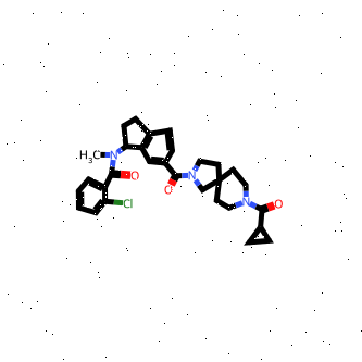 CN(C(=O)c1ccccc1Cl)C1CCc2ccc(C(=O)N3CCC4(CCN(C(=O)C5CC5)CC4)C3)cc21